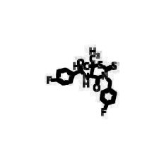 CC1(C)SC(=S)N(Cc2ccc(F)cc2)C(=O)C1NC(=O)c1ccc(F)cc1